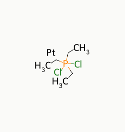 CCP(Cl)(Cl)(CC)CC.[Pt]